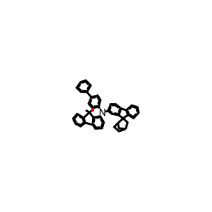 CC1(C)c2ccccc2-c2cccc(N(c3ccc(-c4ccccc4)cc3)c3ccc4c(c3)C3(CC5CCC3C5)c3ccccc3-4)c21